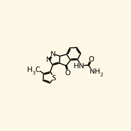 Cc1ccsc1C1=C2C(=O)c3c(NC(N)=O)cccc3C2N=N1